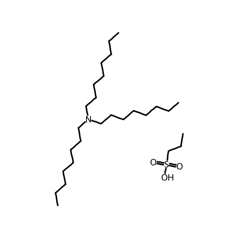 CCCCCCCCN(CCCCCCCC)CCCCCCCC.CCCS(=O)(=O)O